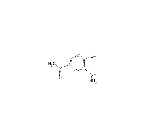 CC(=O)c1ccc(O)c(NN)c1